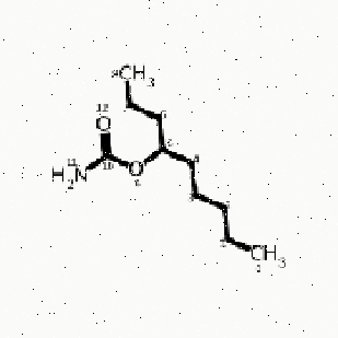 CCCCCC(CCC)OC(N)=O